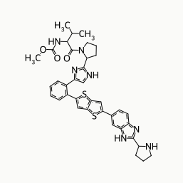 COC(=O)NC(C(=O)N1CCCC1c1nc(-c2ccccc2-c2cc3sc(-c4ccc5nc(C6CCCN6)[nH]c5c4)cc3s2)c[nH]1)C(C)C